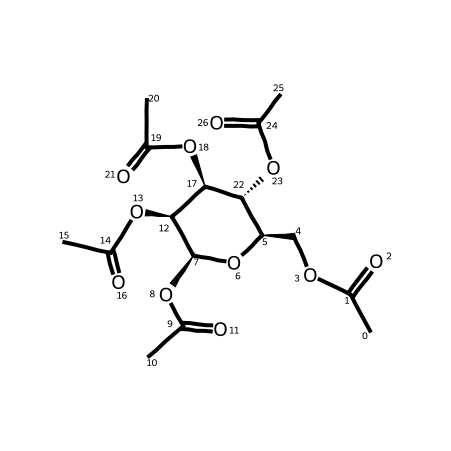 CC(=O)OC[C@H]1O[C@@H](OC(C)=O)[C@@H](OC(C)=O)[C@@H](OC(C)=O)[C@@H]1OC(C)=O